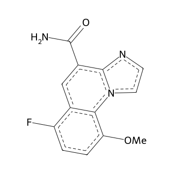 COc1ccc(F)c2cc(C(N)=O)c3nccn3c12